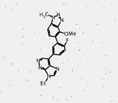 CCn1cnc2c(-c3ccc(F)c(-c4ccc5c(nnn5C)c4OC)c3)cnnc21